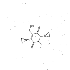 CC1C(=O)C(N2CC2)=C(CO)C(=O)C1N1CC1